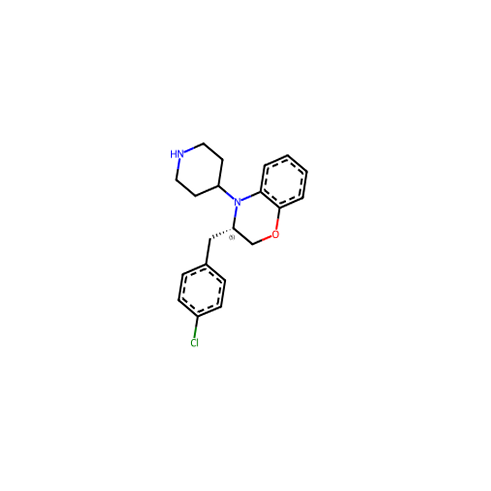 Clc1ccc(C[C@H]2COc3ccccc3N2C2CCNCC2)cc1